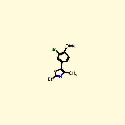 CCc1nc(C)c(-c2ccc(OC)c(Br)c2)s1